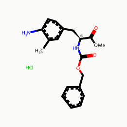 COC(=O)[C@H](Cc1ccc(N)c(C)c1)NC(=O)OCc1ccccc1.Cl